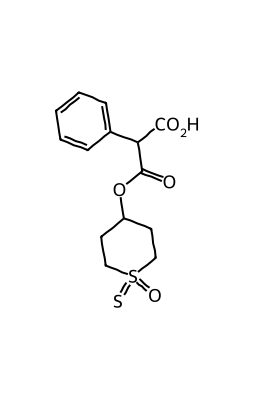 O=C(O)C(C(=O)OC1CCS(=O)(=S)CC1)c1ccccc1